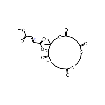 COC(=O)/C=C/C(=O)O[C@H]1C(=O)NCCC(=O)NCCSC(=O)CCC(=O)OCC1(C)C